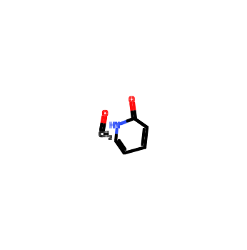 C=O.O=c1cccc[nH]1